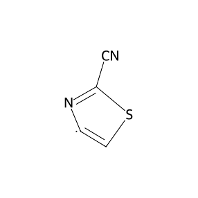 N#Cc1n[c]cs1